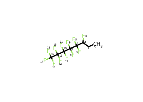 CCC(F)C(F)(F)C(F)(F)C(F)(F)C(F)(F)C(F)(F)F